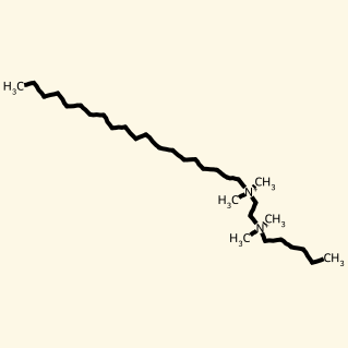 CCCCCCCCCCCCCCCCCCCC[N+](C)(C)CC[N+](C)(C)CCCCCC